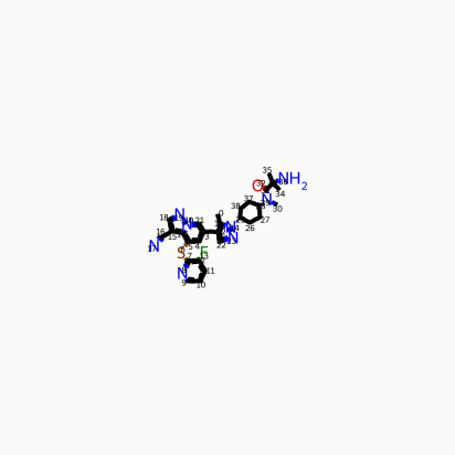 Cc1c(-c2cc(Sc3ncccc3F)c3c(C#N)cnn3c2)cnn1[C@H]1CC[C@@H](N(C)C(=O)C(C)(C)N)CC1